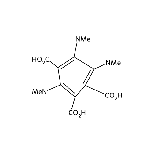 CNc1c(NC)c(C(=O)O)c(C(=O)O)c(NC)c1C(=O)O